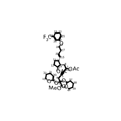 COC(=O)C(CC#CC(C[C@H]1[C@@H](OC(C)=O)CC[C@@H]1C=CCCOc1cccc(C(F)(F)F)c1)OC(C)=O)(OC1CCCCO1)OC1CCCCO1